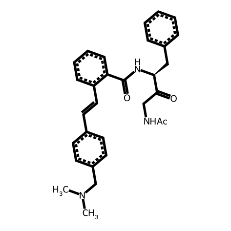 CC(=O)NCC(=O)[C@H](Cc1ccccc1)NC(=O)c1ccccc1C=Cc1ccc(CN(C)C)cc1